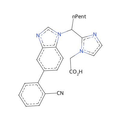 CCCCCC(c1nccn1CC(=O)O)n1cnc2cc(-c3ccccc3C#N)ccc21